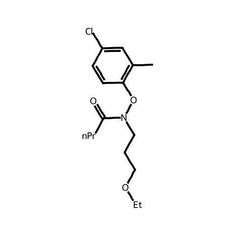 CCCC(=O)N(CCCOCC)Oc1ccc(Cl)cc1C